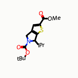 COC(=O)c1cc2c(s1)C(C(C)C)N(C(=O)OC(C)(C)C)C2